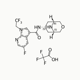 O=C(N[C@H]1C[C@H]2COC[C@@H](C1)N2)c1cn(CC(F)(F)F)c2ncc(F)cc12.O=C(O)C(F)(F)F